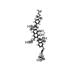 CN(C)CCS(=O)(=O)c1ccc(N=Nc2c(S(=O)(=O)O)cc3cc(SOOO)c(N=Nc4ccc(SC#COOS(=O)(=O)O)cc4S(=O)(=O)O)c(O)c3c2N)cc1